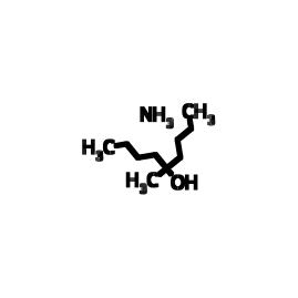 CCCCC(C)(O)CCCC.N